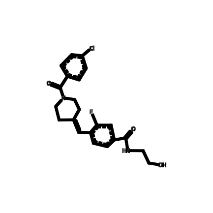 O=C(NCCO)c1ccc(C=C2CCN(C(=O)c3ccc(Cl)cc3)CC2)c(F)c1